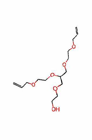 C=CCOCCOCC(COCCO)OCCOCC=C